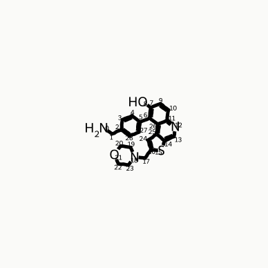 NCc1ccc(-c2c(O)ccc3ncc4sc(CN5CCOCC5)cc4c23)cc1